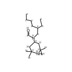 CCCCC(CC)CN(C=O)C1CC(C)(C)NC(C)(C)C1